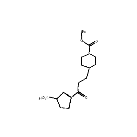 CC(C)(C)OC(=O)N1CCC(CCC(=O)N2CCC(C(=O)O)C2)CC1